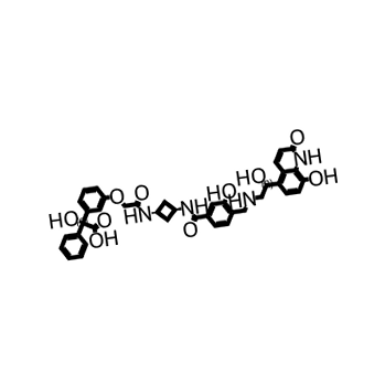 O=C(COc1cccc([C@](O)(C(=O)O)c2ccccc2)c1)N[C@H]1C[C@H](NC(=O)c2ccc(CNC[C@H](O)c3ccc(O)c4[nH]c(=O)ccc34)c(O)c2)C1